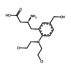 N[C@H](CC(=O)O)Cc1cc(CO)ccc1N(CCCl)CCCl